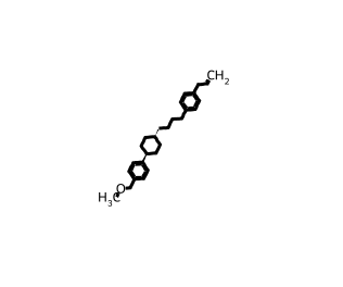 C=CCc1ccc(CCCC[C@H]2CC[C@H](c3ccc(COC)cc3)CC2)cc1